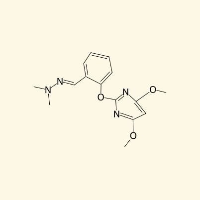 COc1cc(OC)nc(Oc2ccccc2C=NN(C)C)n1